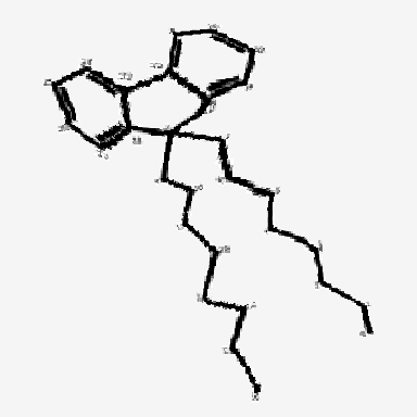 CCCCCCCCC1(CCCCCCCC)c2c[c]ccc2-c2cc[c]cc21